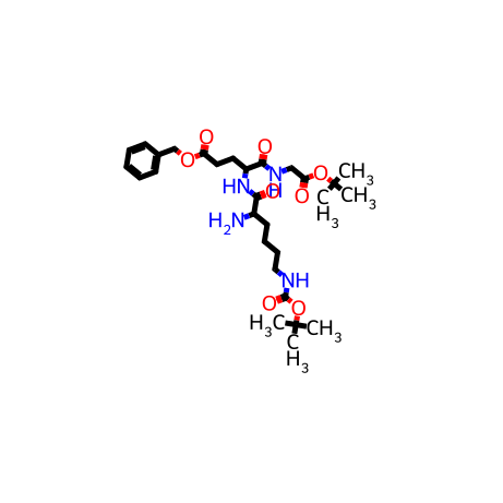 CC(C)(C)OC(=O)CNC(=O)C(CCC(=O)OCc1ccccc1)NC(=O)C(N)CCCCNC(=O)OC(C)(C)C